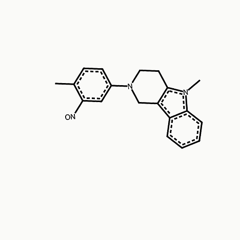 Cc1ccc(N2CCc3c(c4ccccc4n3C)C2)cc1N=O